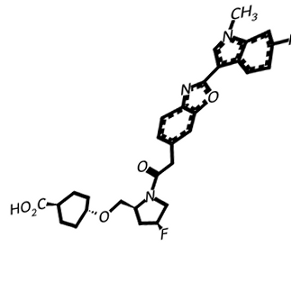 Cn1cc(-c2nc3ccc(CC(=O)N4C[C@@H](F)C[C@H]4CO[C@H]4CC[C@H](C(=O)O)CC4)cc3o2)c2ccc(F)cc21